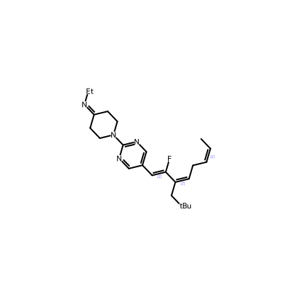 C/C=C\C/C=C(CC(C)(C)C)\C(F)=C\c1cnc(N2CCC(=NCC)CC2)nc1